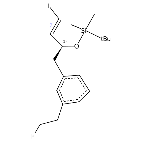 CC(C)(C)[Si](C)(C)O[C@H](/C=C/I)Cc1cccc(CCF)c1